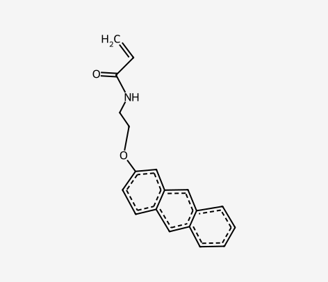 C=CC(=O)NCCOc1ccc2cc3ccccc3cc2c1